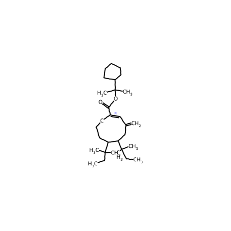 C=C1/C=C(/C(=O)OC(C)(C)C2CCCCC2)CCCC(C(C)(C)CC)C(C(C)(C)CC)C1